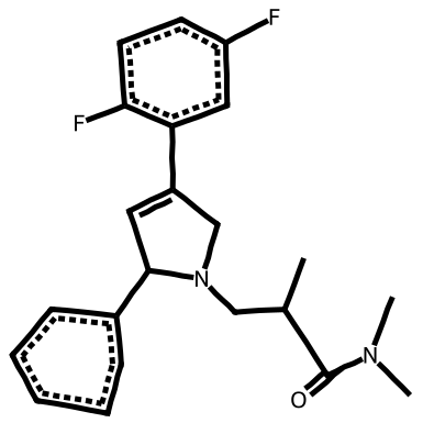 CC(CN1CC(c2cc(F)ccc2F)=CC1c1ccccc1)C(=O)N(C)C